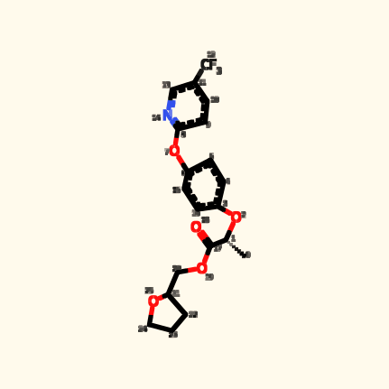 C[C@@H](Oc1ccc(Oc2ccc(C(F)(F)F)cn2)cc1)C(=O)OCC1CCCO1